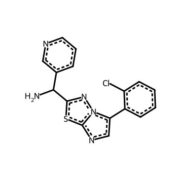 NC(c1cccnc1)c1nn2c(-c3ccccc3Cl)cnc2s1